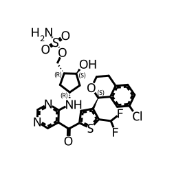 NS(=O)(=O)OC[C@H]1C[C@@H](Nc2ncncc2C(=O)c2cc([C@H]3OCCc4ccc(Cl)cc43)c(C(F)F)s2)C[C@@H]1O